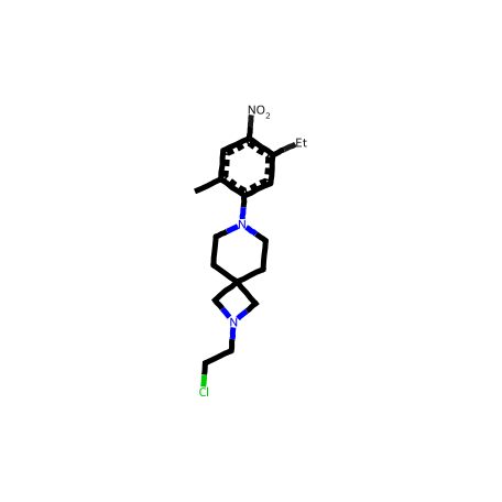 CCc1cc(N2CCC3(CC2)CN(CCCl)C3)c(C)cc1[N+](=O)[O-]